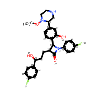 O=C(O)ON1CCNCC1c1ccc(C2C(CCC(O)c3ccc(F)cc3)C(=O)N2c2ccc(F)cc2)c(O)c1